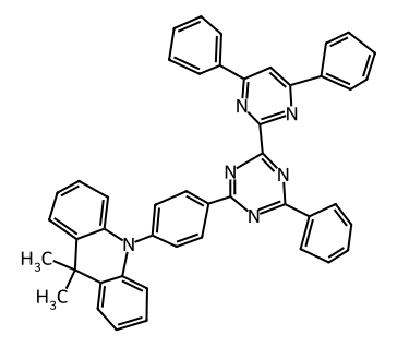 CC1(C)c2ccccc2N(c2ccc(-c3nc(-c4ccccc4)nc(-c4nc(-c5ccccc5)cc(-c5ccccc5)n4)n3)cc2)c2ccccc21